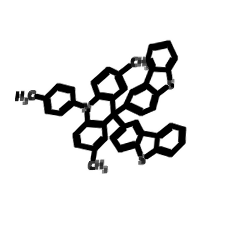 Cc1ccc(N2c3ccc(C)cc3C(c3ccc4sc5ccccc5c4c3)(c3ccc4sc5ccccc5c4c3)c3cc(C)ccc32)cc1